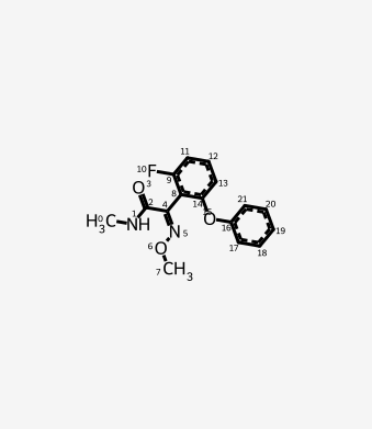 CNC(=O)C(=NOC)c1c(F)cccc1Oc1ccccc1